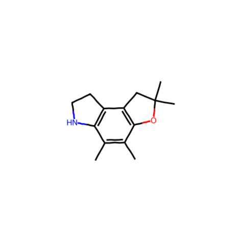 Cc1c(C)c2c(c3c1NCC3)CC(C)(C)O2